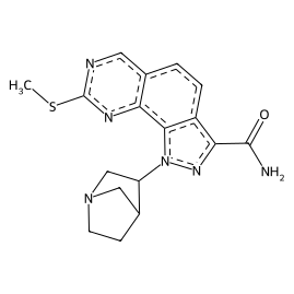 CSc1ncc2ccc3c(C(N)=O)nn(C4CN5CCC4C5)c3c2n1